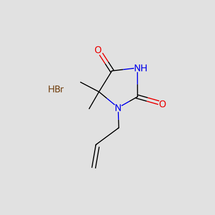 Br.C=CCN1C(=O)NC(=O)C1(C)C